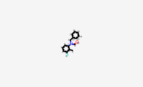 Cc1c(F)cccc1N([C]=O)Cc1ccccc1